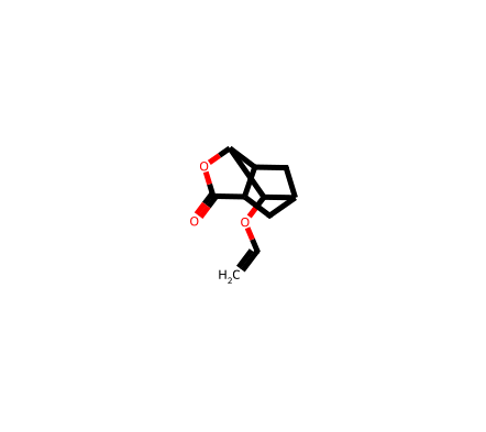 C=COC1C2CC3C(=O)OC1C3C2